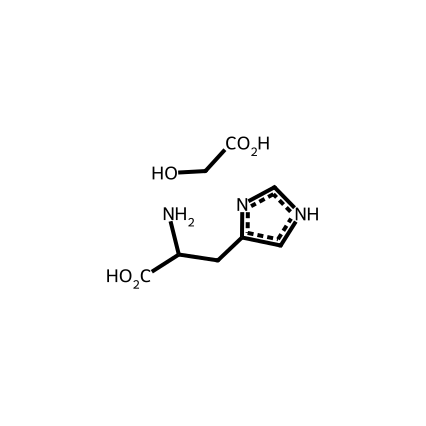 NC(Cc1c[nH]cn1)C(=O)O.O=C(O)CO